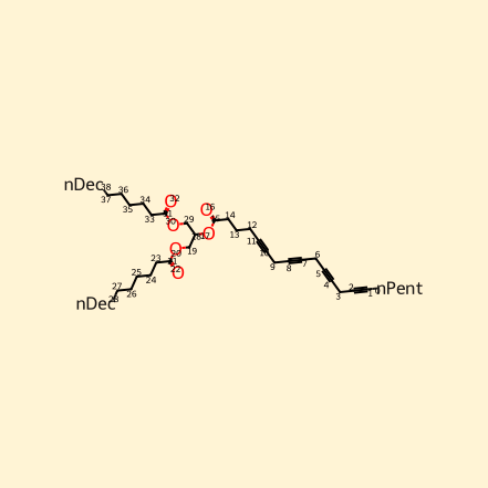 CCCCCC#CCC#CCC#CCC#CCCCC(=O)OC(COC(=O)CCCCCCCCCCCCCCC)COC(=O)CCCCCCCCCCCCCCC